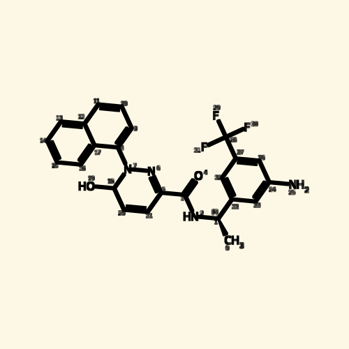 C[C@@H](NC(=O)C1=NN(c2cccc3ccccc23)C(O)C=C1)c1cc(N)cc(C(F)(F)F)c1